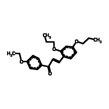 CCCOc1ccc(C=CC(=O)c2ccc(OCC)cc2)c(OCCC)c1